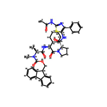 CCCC(=O)Nc1nc(-c2ccccc2)c(NC(=O)[C@@H]2CCCN2C(=O)[C@@H](NC(=O)[C@H](C)N(C)C(=O)OCC2c3ccccc3-c3ccccc32)C2CCCCC2)s1